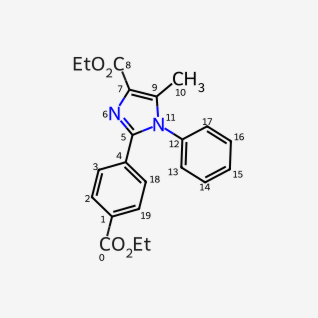 CCOC(=O)c1ccc(-c2nc(C(=O)OCC)c(C)n2-c2ccccc2)cc1